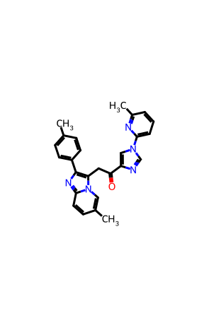 Cc1ccc(-c2nc3ccc(C)cn3c2CC(=O)c2cn(-c3cccc(C)n3)cn2)cc1